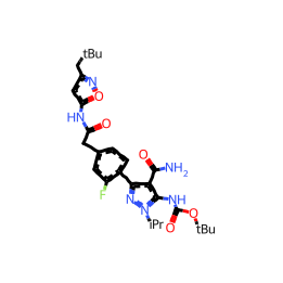 CC(C)n1nc(-c2ccc(CC(=O)Nc3cc(CC(C)(C)C)no3)cc2F)c(C(N)=O)c1NC(=O)OC(C)(C)C